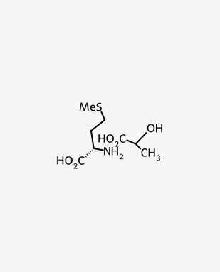 CC(O)C(=O)O.CSCC[C@H](N)C(=O)O